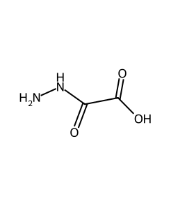 NNC(=O)C(=O)O